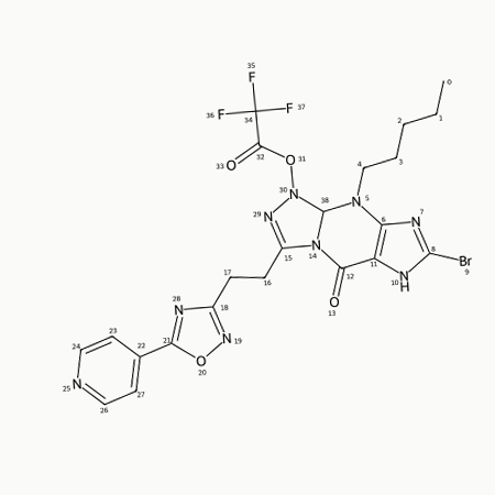 CCCCCN1c2nc(Br)[nH]c2C(=O)N2C(CCc3noc(-c4ccncc4)n3)=NN(OC(=O)C(F)(F)F)C21